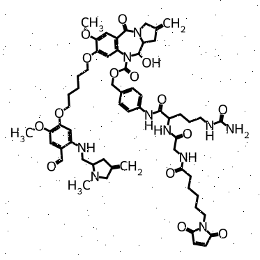 C=C1CC(CNc2cc(OCCCCCOc3cc4c(cc3OC)C(=O)N3CC(=C)CC3C(O)N4C(=O)OCc3ccc(NC(=O)C(CCCNC(N)=O)NC(=O)CNC(=O)CCCCCN4C(=O)C=CC4=O)cc3)c(OC)cc2C=O)N(C)C1